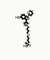 O=S(=O)(O)CCCCOCCCCn1cc(-c2nn(C3CCCCO3)c3ccc(O)cc23)cn1